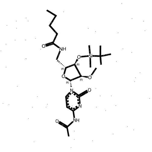 CCCCC(=O)NC[C@H]1O[C@@H](n2ccc(NC(C)=O)nc2=O)[C@H](OC)[C@@H]1O[Si](C)(C)C(C)(C)C